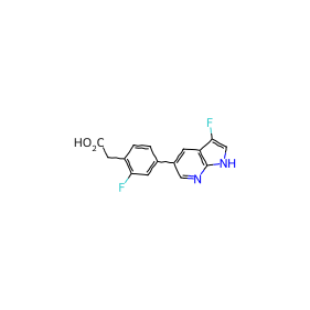 O=C(O)Cc1ccc(-c2cnc3[nH]cc(F)c3c2)cc1F